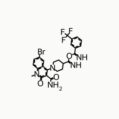 Cn1c(=O)c(C(N)=O)c(N2CCC(C(=N)OC(=N)c3cccc(C(F)(F)F)c3)CC2)c2cc(Br)ccc21